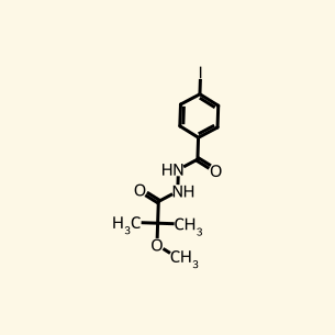 COC(C)(C)C(=O)NNC(=O)c1ccc(I)cc1